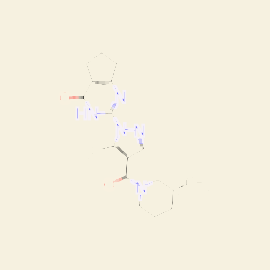 Cc1c(C(=O)N2CCC[C@H](C(F)(F)F)C2)cnn1-c1nc2c(c(=O)[nH]1)CCC2